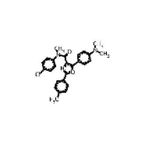 CN(C)c1ccc(-c2oc(-c3ccc(C(F)(F)F)cc3)nc2C(=O)N(C)c2ccc(Cl)cc2)cc1